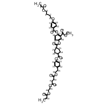 C=CC(=O)OCCCCOc1ccc(C(=O)Oc2ccc(OC(=O)C3CCC(C(=O)Oc4ccc(CCOC(=O)CCC(=O)OCCOC(=O)C=C)cc4)CC3)cc2C(=O)OC)cc1